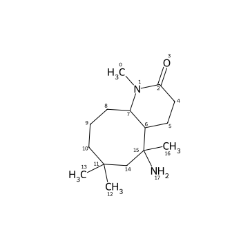 CN1C(=O)CCC2C1CCCC(C)(C)CC2(C)N